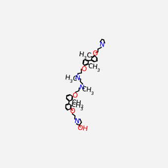 Cc1c(OCCCN(C)CCCN(C)CCCOc2cccc(-c3cccc(OCCCN4CCC(O)C4)c3C)c2C)cccc1-c1cccc(OCCCN2CCCC2)c1C